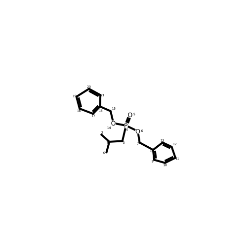 CC(C)CP(=O)(OCc1ccccc1)OCc1ccccc1